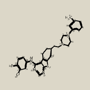 Cc1cccc(N2CCN(CCC3CCc4c(sc5ncnc(Nc6ccc(F)c(Cl)c6)c45)C3)CC2)c1